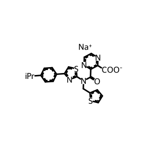 CC(C)c1ccc(-c2csc(N(Cc3cccs3)C(=O)c3nccnc3C(=O)[O-])n2)cc1.[Na+]